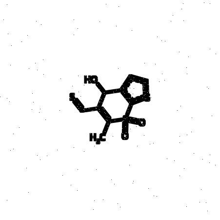 CC1=C(C=S)C(O)c2ccsc2S1(=O)=O